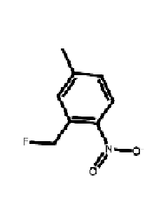 Cc1ccc([N+](=O)[O-])c(CF)c1